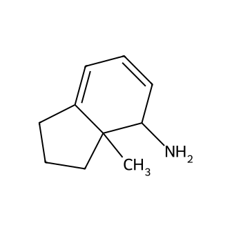 CC12CCCC1=CC=CC2N